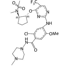 COc1cc(C(=O)NN2CCN(C)CC2)c(Cl)cc1Nc1ncc(C(F)(F)F)c(O[C@@H]2CCC[C@H]2N(C)S(C)(=O)=O)n1